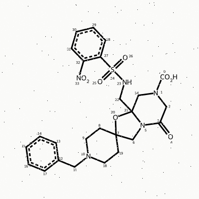 O=C(O)N1CC(=O)N2CC3(CCN(Cc4ccccc4)CC3)OC2(CNS(=O)(=O)c2ccccc2[N+](=O)[O-])C1